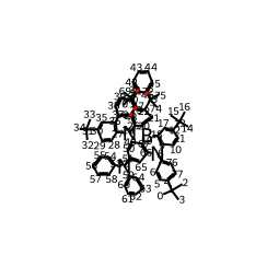 CC(C)(C)c1ccc(N2c3ccc(C(C)(C)C)cc3B3c4cc5c(cc4N(c4ccc(C(C)(C)C)cc4-c4ccc(-c6ccccc6)cc4)c4cc(N(c6ccccc6)c6ccccc6)cc2c43)C(C)(C)CCC5(C)C)cc1